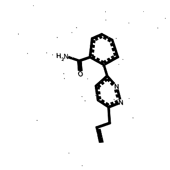 C=CCc1ccc(-c2ccccc2C(N)=O)nn1